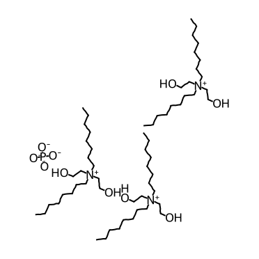 CCCCCCCC[N+](CCO)(CCO)CCCCCCCC.CCCCCCCC[N+](CCO)(CCO)CCCCCCCC.CCCCCCCC[N+](CCO)(CCO)CCCCCCCC.O=P([O-])([O-])[O-]